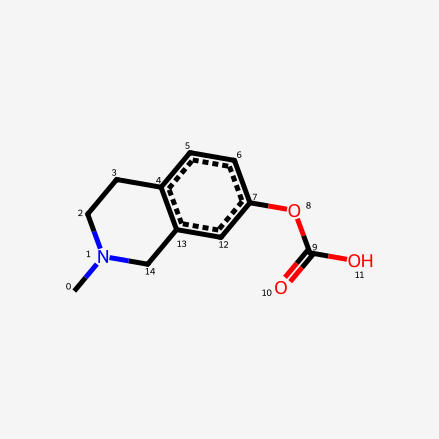 CN1CCc2ccc(OC(=O)O)cc2C1